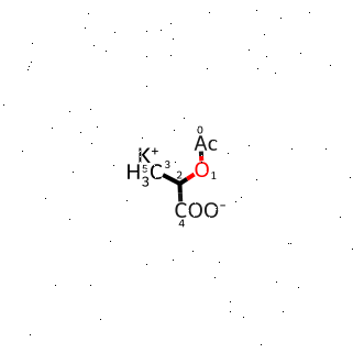 CC(=O)OC(C)C(=O)[O-].[K+]